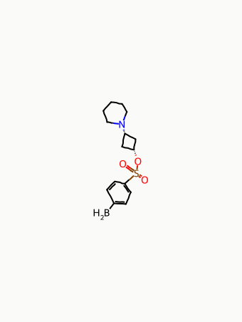 Bc1ccc(S(=O)(=O)O[C@H]2C[C@@H](N3CCCCC3)C2)cc1